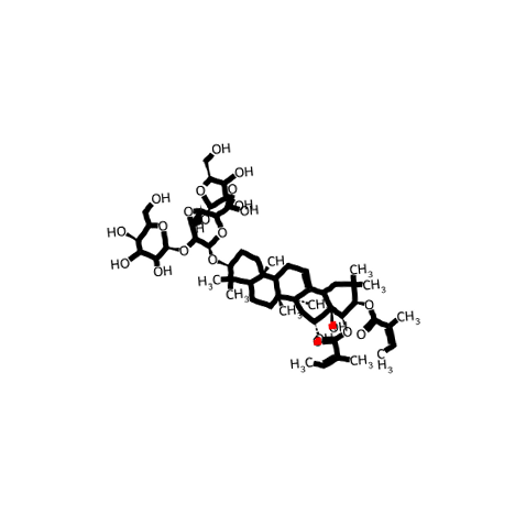 C/C=C(/C)C(=O)O[C@H]1[C@H](OC(=O)/C(C)=C\C)[C@@]2(CO)C(CC1(C)C)C1=CCC3[C@@]4(C)CC[C@H](O[C@@H]5OC(C(=O)O)[C@H]6OC6(O[C@@H]6O[C@@H](CO)C(O)C6O)C5O[C@@H]5OC(CO)[C@H](O)C(O)C5O)C(C)(C)C4CC[C@@]3(C)[C@]1(C)C[C@H]2O